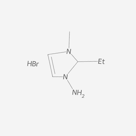 Br.CCC1N(C)C=CN1N